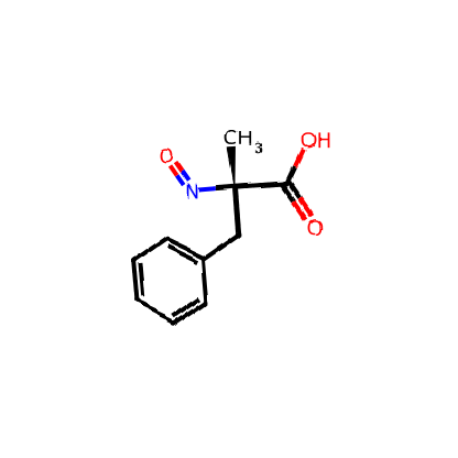 C[C@@](Cc1ccccc1)(N=O)C(=O)O